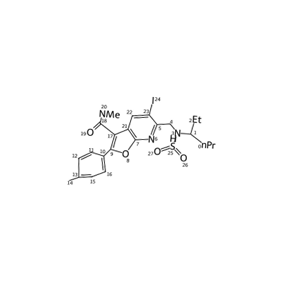 [CH2]CCC(CC)N(Cc1nc2oc(-c3ccc(C)cc3)c(C(=O)NC)c2cc1I)[SH](=O)=O